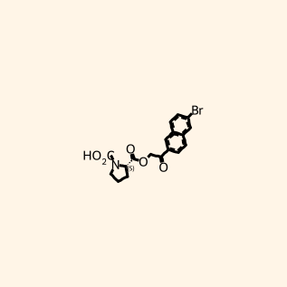 O=C(COC(=O)[C@@H]1CCCN1C(=O)O)c1ccc2cc(Br)ccc2c1